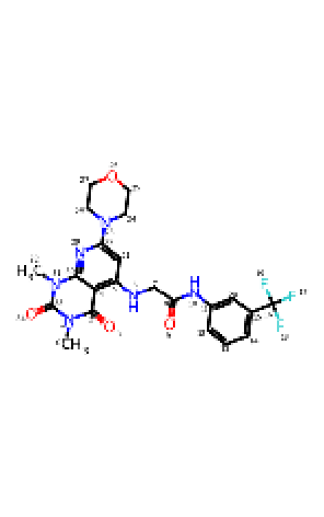 Cn1c(=O)c2c(NCC(=O)Nc3cccc(C(F)(F)F)c3)cc(N3CCOCC3)nc2n(C)c1=O